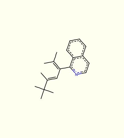 CC(C)=C(/C=C(\C)C(C)(C)C)c1nccc2ccccc12